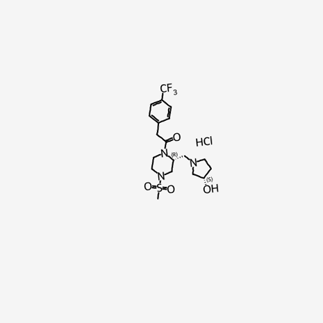 CS(=O)(=O)N1CCN(C(=O)Cc2ccc(C(F)(F)F)cc2)[C@H](CN2CC[C@H](O)C2)C1.Cl